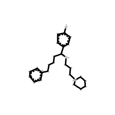 Clc1ccc(C(CCCCc2ccccc2)OCCCN2CCCCC2)cc1